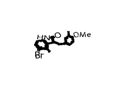 COc1ccc(C=C2C(=O)Nc3ccc(Br)c(C)c32)cc1C